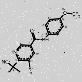 CC(C)(C#N)c1ncc(C(=O)Nc2ccc(OC(F)(F)F)cc2)cc1Br